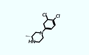 C[C@@H]1CN(C2=CC=C(Cl)C(Cl)C2)CCN1